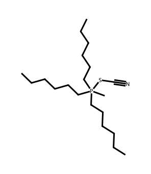 CCCCCCP(C)(CCCCCC)(CCCCCC)SC#N